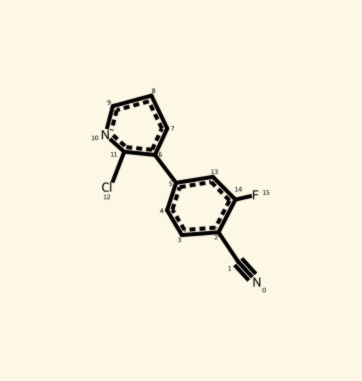 N#Cc1ccc(-c2cccnc2Cl)cc1F